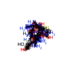 CC[C@H](C)[C@H](NC(=O)[C@@H]1C[C@@H](O)CN1C(=O)[C@@H](N)C(C)C)C(=O)N[C@H](C(=O)N[C@@H](Cc1ccc(O)cc1)C(=O)N[C@@H](CO)C(=O)N[C@@H](CC(N)=O)C(=O)N[C@@H](CCCNC(=N)N)C(=O)N[C@@H](CO)C(=O)N[C@H](C(=O)N[C@H](CCN)C(=O)N[C@@H](CCCCN)C(=O)N[C@@H](CCN)C(=O)N[C@@H](CCN)C(=O)N[C@@H](CS)C(=O)N[C@@H](Cc1ccc(O)cc1)C(=O)O)[C@@H](C)O)C(C)(C)S